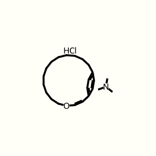 C1=Cc2ccc(cc2)CCCCCCCCCCCCO1.CN(C)C.Cl